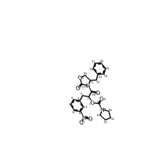 O=C(OC(Cc1cccc([N+](=O)[O-])c1)C(=O)N1C(=O)OCC1Cc1ccccc1)N1CCCC1